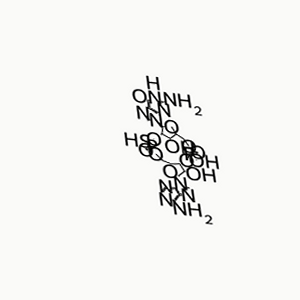 Nc1nc2c(ncn2C2OC3COP(=O)(O)OC4C(COP(=O)(S)OC2C3O)OC(n2cnc3c(N)ncnc32)C4O)c(=O)[nH]1